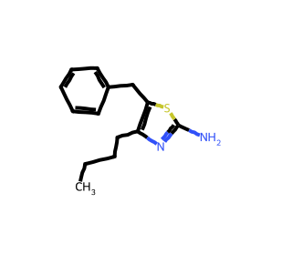 CCCCc1nc(N)sc1Cc1ccccc1